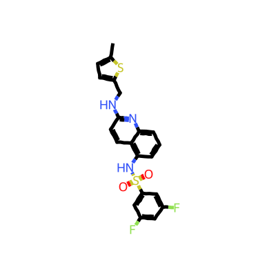 Cc1ccc(CNc2ccc3c(NS(=O)(=O)c4cc(F)cc(F)c4)cccc3n2)s1